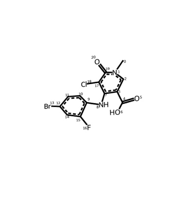 Cn1cc(C(=O)O)c(Nc2ccc(Br)cc2F)c(Cl)c1=O